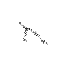 C=CC(=O)OCCCCCCOc1ccc(OC(=O)C2CCC(COc3ccc4c(c3)nc(Sc3ccc(OCCCCCC)cc3)c3cc(OCC5CCC(C=O)CC5)ccc34)CC2)cc1